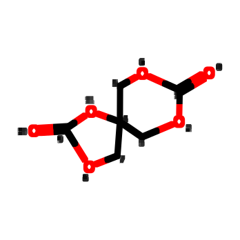 O=C1OCC2(CO1)COC(=O)O2